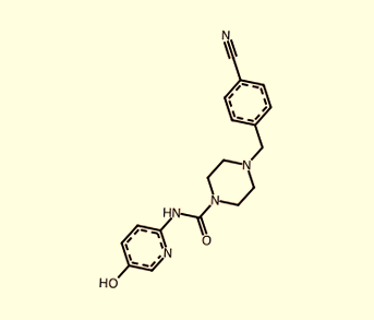 N#Cc1ccc(CN2CCN(C(=O)Nc3ccc(O)cn3)CC2)cc1